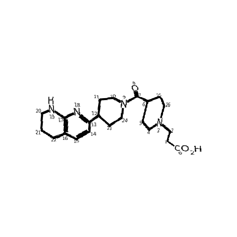 O=C(O)CCN1CCC(C(=O)N2CCC(c3ccc4c(n3)NCCC4)CC2)CC1